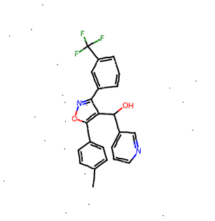 Cc1ccc(-c2onc(-c3cccc(C(F)(F)F)c3)c2C(O)c2cccnc2)cc1